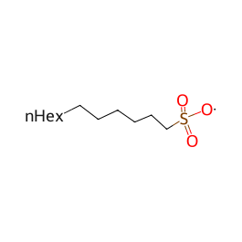 CCCCCCCCCCCCS([O])(=O)=O